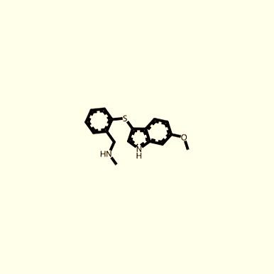 CNCc1ccccc1Sc1c[nH]c2cc(OC)ccc12